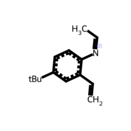 C=Cc1cc(C(C)(C)C)ccc1/N=C\C